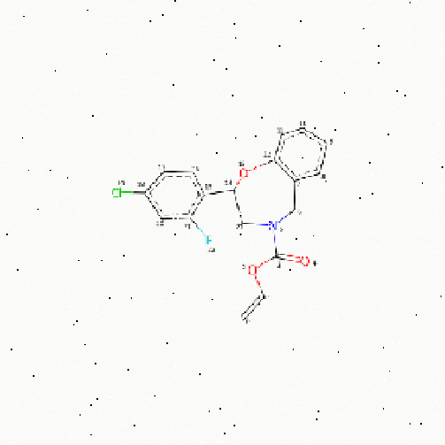 C=COC(=O)N1Cc2ccccc2OC(c2ccc(Cl)cc2F)C1